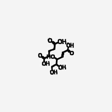 O=C(O)C=CC(O)C(O)CO.O=C(O)CCCC(=O)O